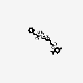 CC1CCC(C(C)C)C(OC(=O)CCc2cc(CNC(=O)[C@@H](N)Cc3ccccc3)on2)C1